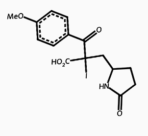 COc1ccc(C(=O)C(I)(CC2CCC(=O)N2)C(=O)O)cc1